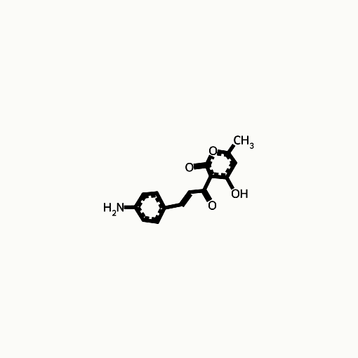 Cc1cc(O)c(C(=O)/C=C/c2ccc(N)cc2)c(=O)o1